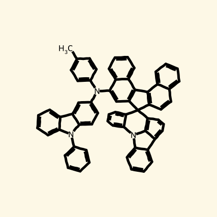 Cc1ccc(N(c2ccc3c(c2)c2ccccc2n3-c2ccccc2)c2cc3c(c4ccccc24)-c2c(ccc4ccccc24)C32c3ccccc3-n3c4ccccc4c4cccc2c43)cc1